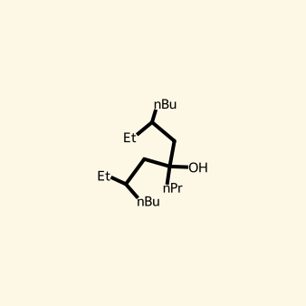 CCCCC(CC)CC(O)(CCC)CC(CC)CCCC